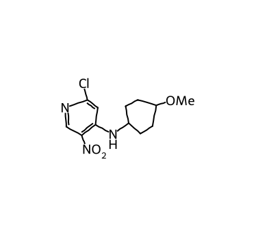 COC1CCC(Nc2cc(Cl)ncc2[N+](=O)[O-])CC1